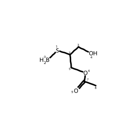 BSC(CO)COC(C)=O